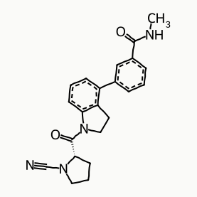 CNC(=O)c1cccc(-c2cccc3c2CCN3C(=O)[C@@H]2CCCN2C#N)c1